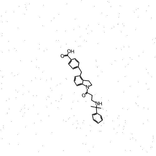 CC(C)(NCCC(=O)N1CCc2c(Cc3ccc(C(=O)O)cc3)cccc21)c1ccccc1